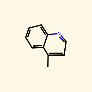 Cc1ccnc2c[c]ccc12